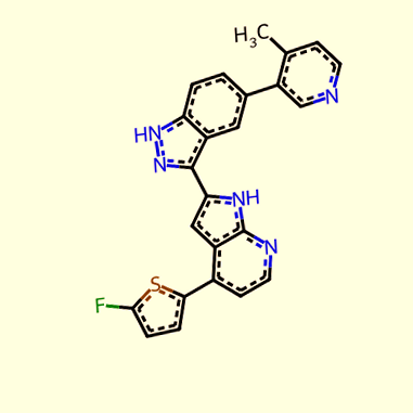 Cc1ccncc1-c1ccc2[nH]nc(-c3cc4c(-c5ccc(F)s5)ccnc4[nH]3)c2c1